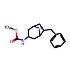 CC(C)(C)OC(=O)NC1CC2CC(Cc3ccccc3)C(C1)N2